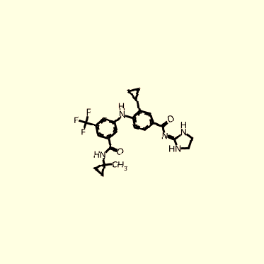 CC1(NC(=O)c2cc(Nc3ccc(C(=O)N=C4NCCN4)cc3C3CC3)cc(C(F)(F)F)c2)CC1